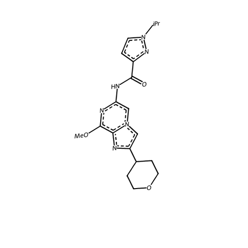 COc1nc(NC(=O)c2ccn(C(C)C)n2)cn2cc(C3CCOCC3)nc12